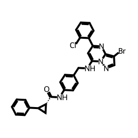 O=C(Nc1ccc(CNc2cc(-c3ccccc3Cl)nc3c(Br)cnn23)cc1)[C@@H]1CC1c1ccccc1